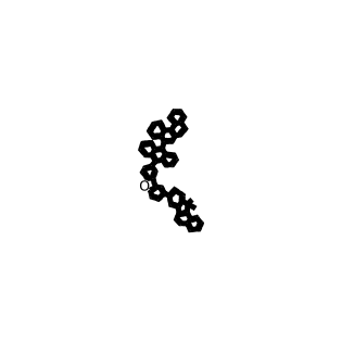 CC1(C)c2ccc(-c3ccc4oc5ccc(-c6c7ccccc7c(-c7cc8ccc9ccccc9c8c8ccccc78)c7ccccc67)cc5c4c3)cc2-c2ccc3ccccc3c21